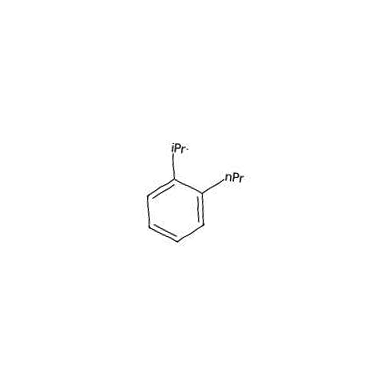 CCCc1ccccc1[C](C)C